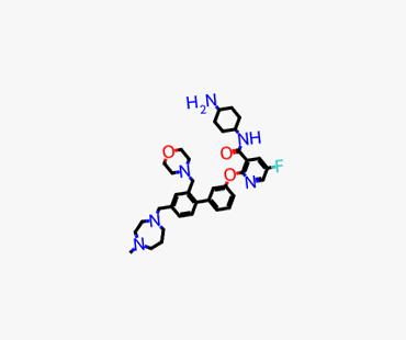 CN1CCCN(Cc2ccc(-c3cccc(Oc4ncc(F)cc4C(=O)NC4CCC(N)CC4)c3)c(CN3CCOCC3)c2)CC1